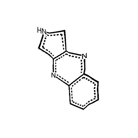 c1ccc2nc3c[nH]cc3nc2c1